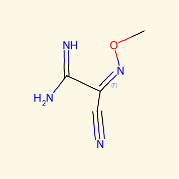 CO/N=C(/C#N)C(=N)N